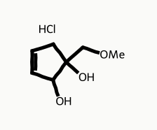 COCC1(O)CC=CC1O.Cl